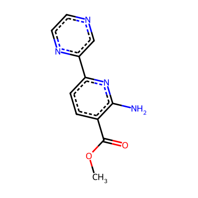 COC(=O)c1ccc(-c2cnccn2)nc1N